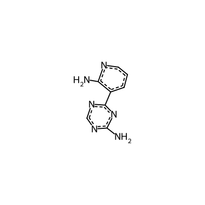 Nc1ncnc(-c2cccnc2N)n1